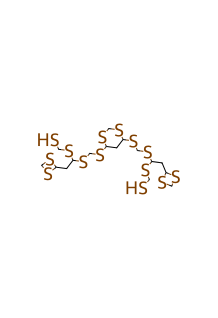 SCSC(CC1SCS1)SCSC1CC(SCSC(CC2SCS2)SCS)SCS1